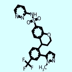 Cn1nccc1-c1cc(C(F)(F)F)ccc1C1CCOc2cc(S(=O)(=O)Nc3cccnn3)ccc21